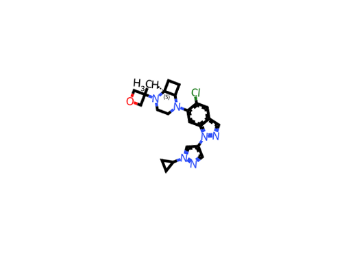 CC1(N2CCN(c3cc4c(cnn4-c4cnn(C5CC5)c4)cc3Cl)C3CC[C@@H]32)COC1